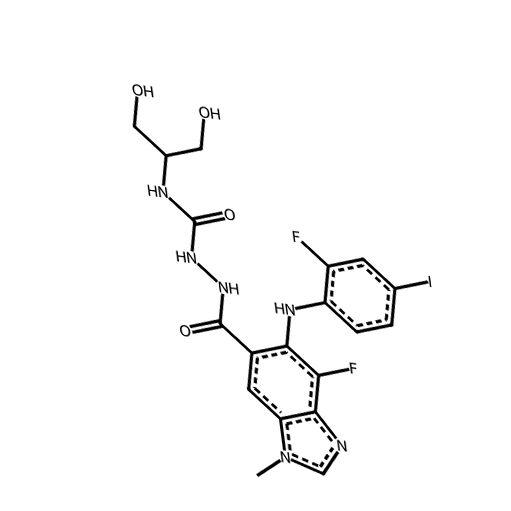 Cn1cnc2c(F)c(Nc3ccc(I)cc3F)c(C(=O)NNC(=O)NC(CO)CO)cc21